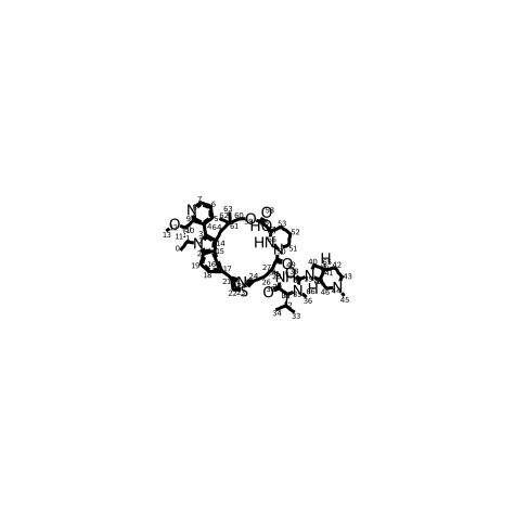 CCn1c(-c2cccnc2[C@H](C)OC)c2c3cc(ccc31)-c1csc(n1)C[C@H](NC(=O)[C@H](C(C)C)N(C)C(=O)N1C[C@H]3CCN(C)C[C@H]31)C(=O)N1CCC[C@@](O)(N1)C(=O)OCC(C)(C)C2